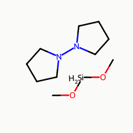 C1CCN(N2CCCC2)C1.CO[SiH2]OC